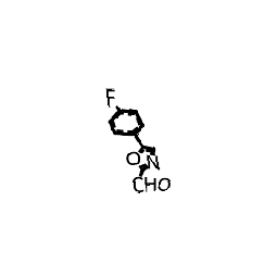 O=Cc1ncc(-c2ccc(F)cc2)o1